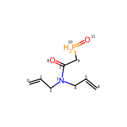 C=CCN(CC=C)C(=O)C[PH2]=O